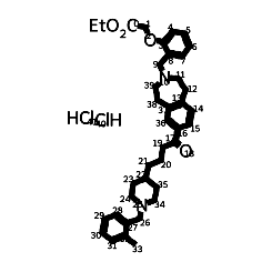 CCOC(=O)COc1ccccc1CN1CCc2ccc(C(=O)CCCC3CCN(Cc4ccccc4C)CC3)cc2CC1.Cl.Cl